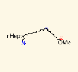 CCCCCCCC(CCCCCCCCCC/C=C\CCCCCCCC(=O)OC)CCN(C)C